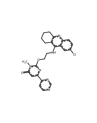 Cn1c(OCCNc2c3c(nc4ccc(Cl)cc24)CCCC3)nc(-c2ccncn2)cc1=O